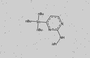 CCC[CH2][Sn]([CH2]CCC)([CH2]CCC)[c]1ccnc(NCCC)n1